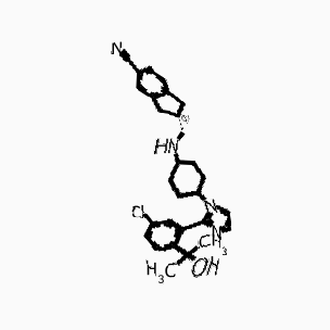 CC(C)(O)c1ccc(Cl)cc1-c1nccn1C1CCC(NC[C@H]2Cc3ccc(C#N)cc3C2)CC1